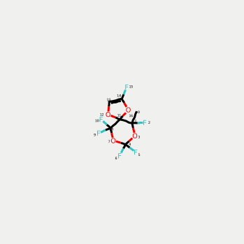 CC1(F)OC(F)(F)OC(F)(F)C12OC=C(F)O2